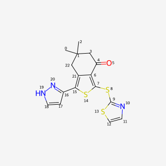 CC1(C)CC(=O)c2c(Sc3nccs3)sc(-c3cc[nH]n3)c2C1